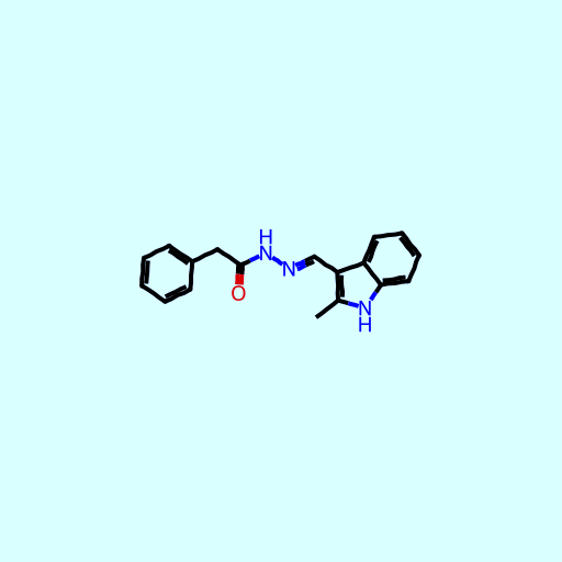 Cc1[nH]c2ccccc2c1C=NNC(=O)Cc1ccccc1